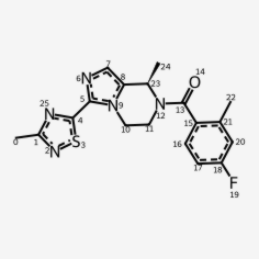 Cc1nsc(-c2ncc3n2CCN(C(=O)c2ccc(F)cc2C)[C@@H]3C)n1